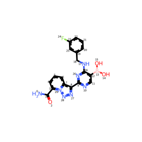 NC(=O)c1cccc2c(-c3ncc(B(O)O)c(NCc4cccc(F)c4)n3)nnn12